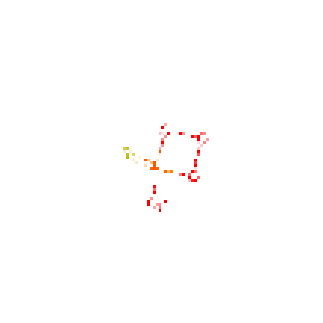 OP1(=S)OOO1